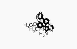 CCOc1c(C)cc(C2(c3cccc(-c4cncnc4)c3)NC(N)c3nccnc32)cc1C